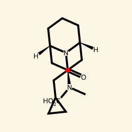 CN(C(=O)O)[C@@H]1C[C@H]2CCC[C@@H](C1)N2C(=O)CC1CC1